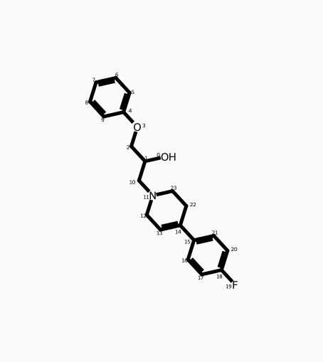 OC(COc1ccccc1)CN1CC=C(c2ccc(F)cc2)CC1